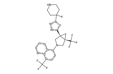 FC(F)(F)c1ccc(N2C[C@]3(c4nnc(C5(F)CCNCC5)o4)C[C@]3(C(F)(F)F)C2)c2cccnc12